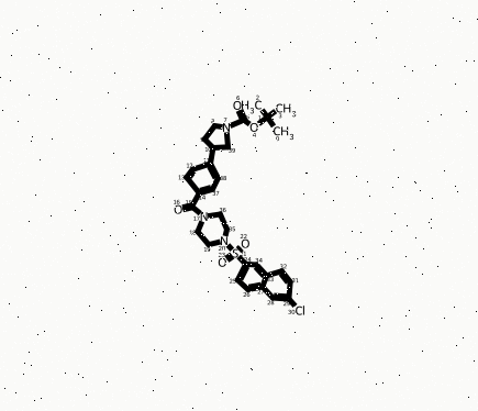 CC(C)(C)OC(=O)N1CCC(c2ccc(C(=O)N3CCN(S(=O)(=O)c4ccc5cc(Cl)ccc5c4)CC3)cc2)C1